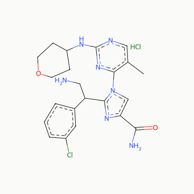 Cc1cnc(NC2CCOCC2)nc1-n1cc(C(N)=O)nc1C(CN)c1cccc(Cl)c1.Cl